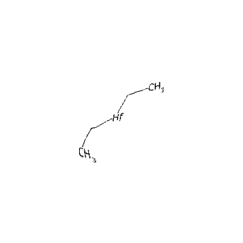 C[CH2][Hf][CH2]C